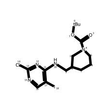 CC(C)(C)OC(=O)N1CCCC(CNc2nc(Cl)ncc2I)C1